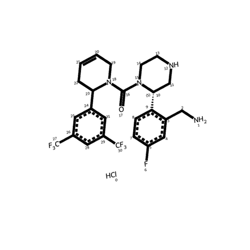 Cl.NCc1cc(F)ccc1[C@H]1CNCCN1C(=O)N1CC=CCC1c1cc(C(F)(F)F)cc(C(F)(F)F)c1